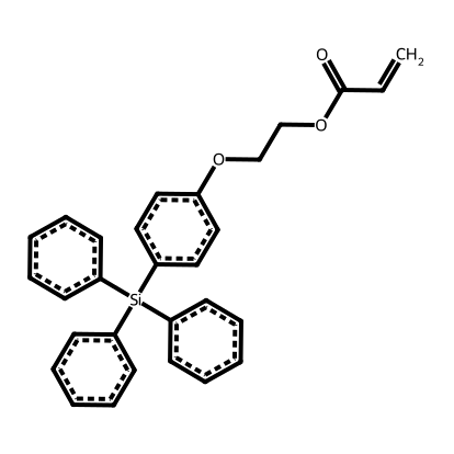 C=CC(=O)OCCOc1ccc([Si](c2ccccc2)(c2ccccc2)c2ccccc2)cc1